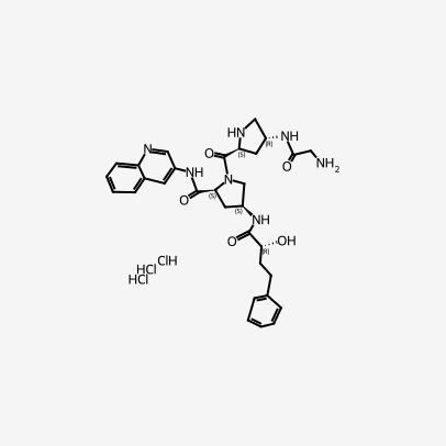 Cl.Cl.Cl.NCC(=O)N[C@H]1CN[C@H](C(=O)N2C[C@@H](NC(=O)[C@H](O)CCc3ccccc3)C[C@H]2C(=O)Nc2cnc3ccccc3c2)C1